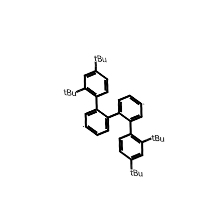 CC(C)(C)c1ccc(-c2c[c]ccc2-c2cc[c]cc2-c2ccc(C(C)(C)C)cc2C(C)(C)C)c(C(C)(C)C)c1